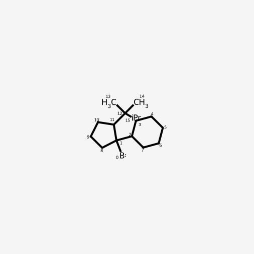 [B]C1(C2CCCCC2)CCCC1C(C)(C)C(C)C